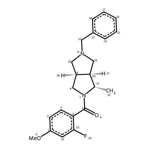 COc1ccc(C(=O)N2C[C@H]3CN(Cc4ccccc4)C[C@H]3[C@@H]2C)c(F)c1